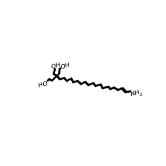 NCC=CCCCCCCCCCCCCCCCCCC(CCO)(CCO)CCO